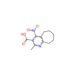 Cc1nc2c(c([N+](=O)[O-])c1C(=O)O)CCCCC2